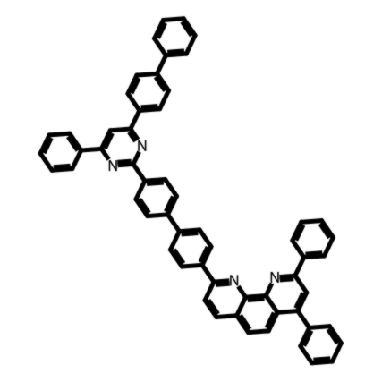 c1ccc(-c2ccc(-c3cc(-c4ccccc4)nc(-c4ccc(-c5ccc(-c6ccc7ccc8c(-c9ccccc9)cc(-c9ccccc9)nc8c7n6)cc5)cc4)n3)cc2)cc1